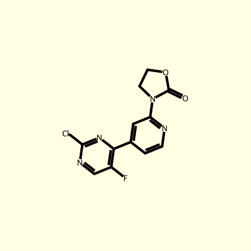 O=C1OCCN1c1cc(-c2nc(Cl)ncc2F)ccn1